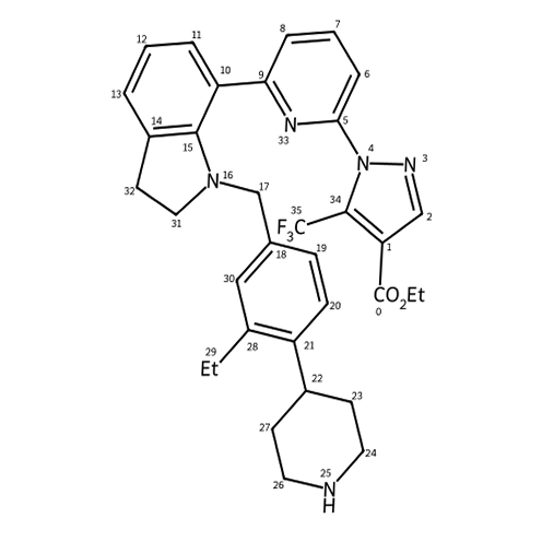 CCOC(=O)c1cnn(-c2cccc(-c3cccc4c3N(Cc3ccc(C5CCNCC5)c(CC)c3)CC4)n2)c1C(F)(F)F